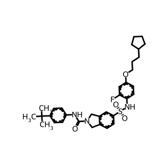 CC(C)(C)c1ccc(NC(=O)N2Cc3ccc(S(=O)(=O)Nc4ccc(OCCCC5CCCC5)cc4F)cc3C2)cc1